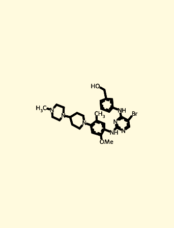 COc1cc(N2CCC(N3CCN(C)CC3)CC2)c(C)cc1Nc1ncc(Br)c(Nc2cccc(CO)c2)n1